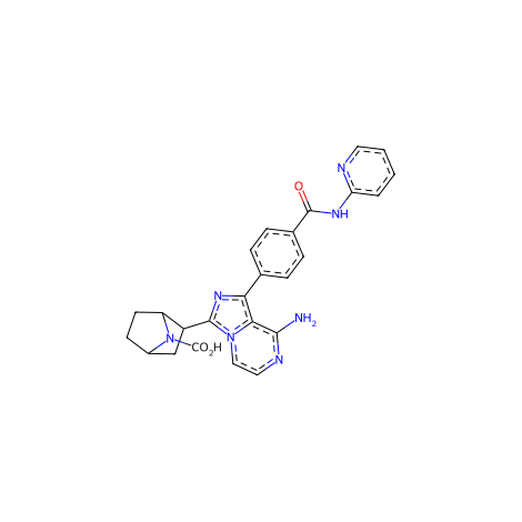 Nc1nccn2c(C3CC4CCC3N4C(=O)O)nc(-c3ccc(C(=O)Nc4ccccn4)cc3)c12